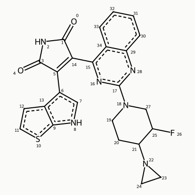 O=C1NC(=O)C(c2c[nH]c3sccc23)=C1c1nc(N2CCC(N3CC3)C(F)C2)nc2ccccc12